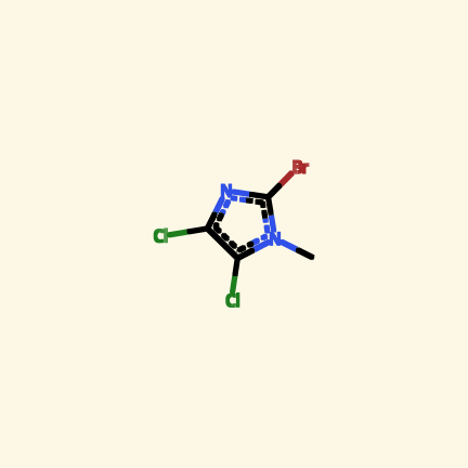 Cn1c(Br)nc(Cl)c1Cl